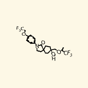 CC(OCC1(O)CCC2(CCN(c3ccc(OCC(F)(F)F)cc3)C2=O)CC1)C(F)(F)F